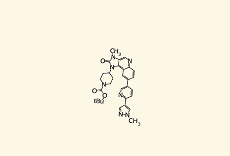 Cn1cc(-c2ccc(-c3ccc4ncc5c(c4c3)n(C3CCN(C(=O)OC(C)(C)C)CC3)c(=O)n5C)cn2)cn1